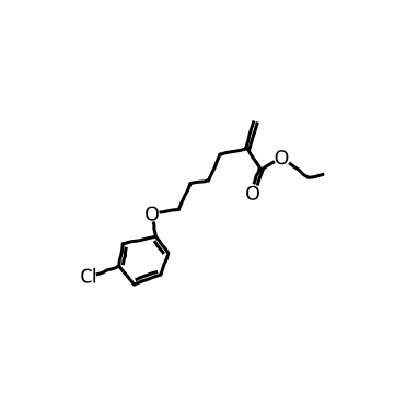 C=C(CCCCOc1cccc(Cl)c1)C(=O)OCC